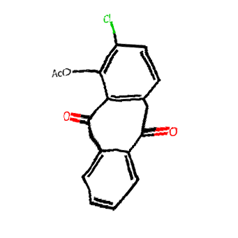 CC(=O)Oc1c(Cl)ccc2c1C(=O)c1ccccc1C2=O